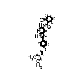 CCN(CC)CCOc1ccc(-c2nc3cc(NC(=O)c4ccccc4Cl)cnc3[nH]2)cc1